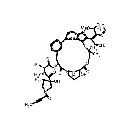 C=C/C(=C(\N=C/C)[C@H](C)OC)c1c2c3cc(ccc3n1CC)-c1cccc(c1)C[C@H](NC(=O)[C@H](C(C)C)N(C)C(=O)C1(O)CN(C(=O)C#CC)C[C@@H]1C)C(=O)N1CCC[C@@](O)(N1)C(=O)OCC(C)(C)C2